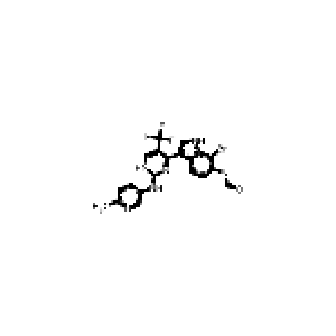 Cc1ccc(NC2N=C(c3c[nH]c4c(Br)c(NC=O)ccc34)C(C(F)(F)F)=CN2)cn1